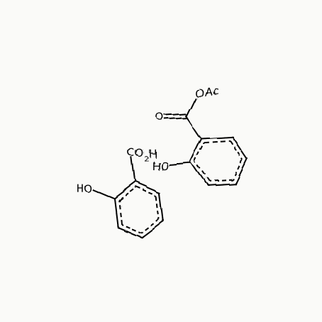 CC(=O)OC(=O)c1ccccc1O.O=C(O)c1ccccc1O